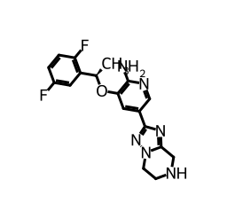 C[C@@H](Oc1cc(-c2nc3n(n2)CCNC3)cnc1N)c1cc(F)ccc1F